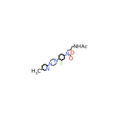 CC(=O)NCC1CN(c2ccc(N3CCN(c4ccc(C)cn4)CC3)c(F)c2)C(=O)O1